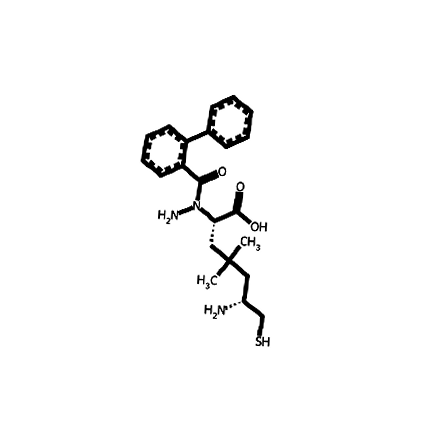 CC(C)(C[C@@H](N)CS)C[C@@H](C(=O)O)N(N)C(=O)c1ccccc1-c1ccccc1